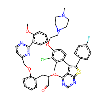 COc1ccccc1-c1nccc(COc2ccccc2CC(C=O)Oc2ncnc3sc(-c4ccc(F)cc4)c(-c4ccc(OCCN5CCN(C)CC5)c(Cl)c4C)c23)n1